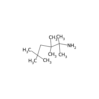 CC(C)(C)CC(C)(C)C(C)(C)N